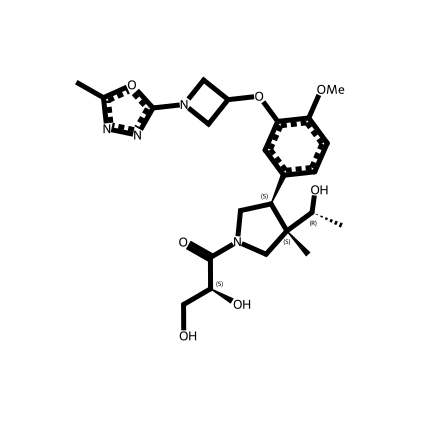 COc1ccc([C@@H]2CN(C(=O)[C@@H](O)CO)C[C@@]2(C)[C@@H](C)O)cc1OC1CN(c2nnc(C)o2)C1